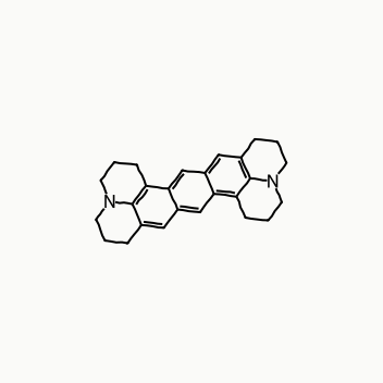 c1c2c3c(c4cc5cc6c7c(c5cc14)CCCN7CCC6)CCCN3CCC2